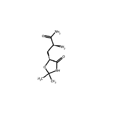 CC1(C)NC(=O)[C@H](C[C@H](N)C(N)=O)O1